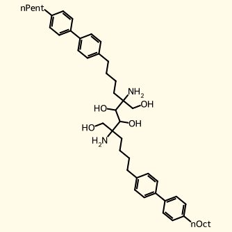 CCCCCCCCc1ccc(-c2ccc(CCCCC(N)(CO)C(O)C(O)C(N)(CO)CCCCc3ccc(-c4ccc(CCCCC)cc4)cc3)cc2)cc1